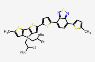 CCCCC(CC)C[Si]1(CC(CC)CCCC)c2cc(C)sc2-c2sc(-c3ccc(-c4ccc(-c5ccc(C)s5)c5nsnc45)s3)cc21